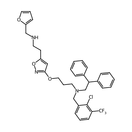 FC(F)(F)c1cccc(CN(CCCOc2cc(CCNCc3ccco3)on2)CC(c2ccccc2)c2ccccc2)c1Cl